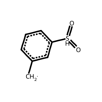 [CH2]c1cccc([SH](=O)=O)c1